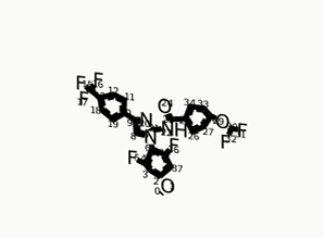 COc1cc(F)c(-n2cc(-c3ccc(C(F)(F)F)cc3)nc2NC(=O)c2ccc(OC(F)F)cc2)c(F)c1